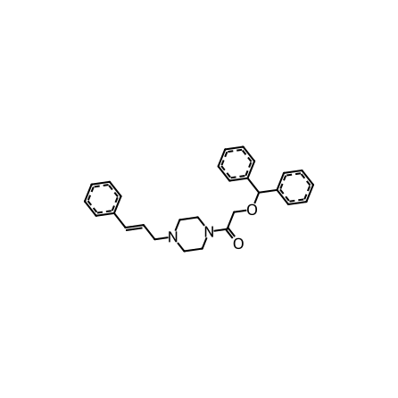 O=C(COC(c1ccccc1)c1ccccc1)N1CCN(C/C=C/c2ccccc2)CC1